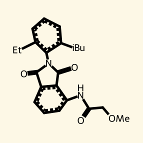 CCc1cccc(C(C)CC)c1N1C(=O)c2cccc(NC(=O)COC)c2C1=O